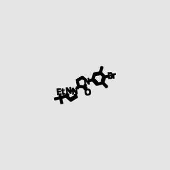 CCC(C)(C)c1ccn(C2CCN(c3cc(C)c(Br)c(C)c3)C2=O)n1